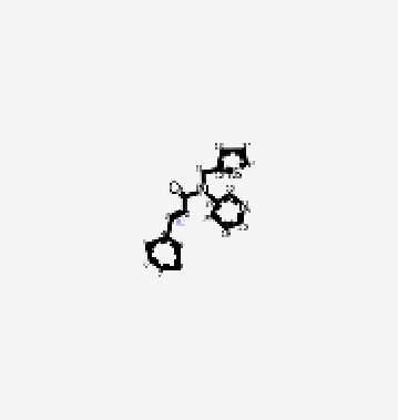 O=C(/C=C/c1ccccc1)N(Cc1cccs1)c1cccnc1